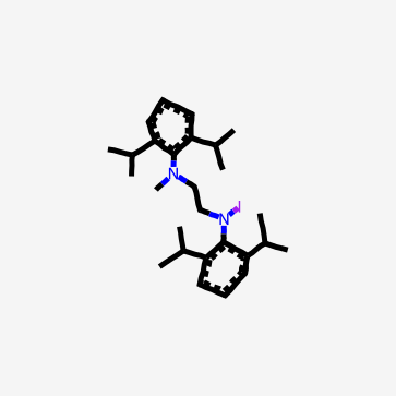 CC(C)c1cccc(C(C)C)c1N(C)CCN(I)c1c(C(C)C)cccc1C(C)C